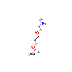 CC(C)NCCOCCCO[C@@H](C)C(C)(C)C